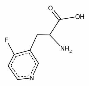 NC(Cc1cnccc1F)C(=O)O